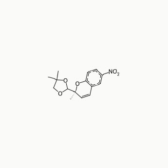 CC1(C)COC([C@]2(C)C=Cc3cc([N+](=O)[O-])ccc3O2)O1